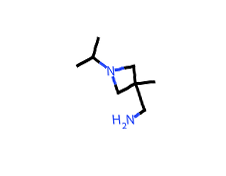 CC(C)N1CC(C)(CN)C1